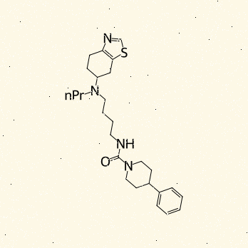 CCCN(CCCCNC(=O)N1CCC(c2ccccc2)CC1)C1CCc2ncsc2C1